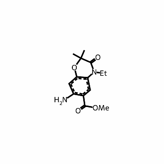 CCN1C(=O)C(C)(C)Oc2cc(N)c(C(=O)OC)cc21